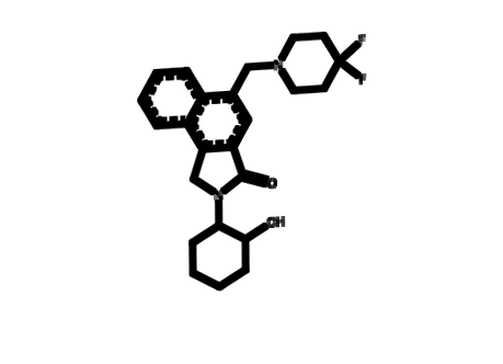 O=C1c2cc(CN3CCC(F)(F)CC3)c3ccccc3c2CN1C1CCCCC1O